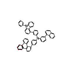 c1ccc(-c2ccccc2-c2c(-c3ccccc3)cccc2-c2ccc(N(c3cccc(-c4cccc5ccccc45)c3)c3cccc(-c4cccc5c4c4ccccc4n5-c4ccccc4)c3)cc2)cc1